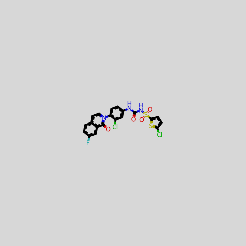 O=C(Nc1ccc(-n2ccc3ccc(F)cc3c2=O)c(Cl)c1)NS(=O)(=O)c1ccc(Cl)s1